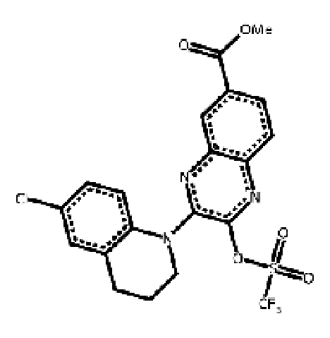 COC(=O)c1ccc2nc(OS(=O)(=O)C(F)(F)F)c(N3CCCc4cc(Cl)ccc43)nc2c1